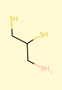 BCC(S)CS